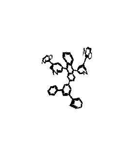 c1ccc(-c2cc(-c3ccccc3)cc(-c3ccc4c(-c5cncc(-c6ncco6)c5)c5ccccc5c(-c5cncc(-c6ncco6)c5)c4c3)c2)cc1